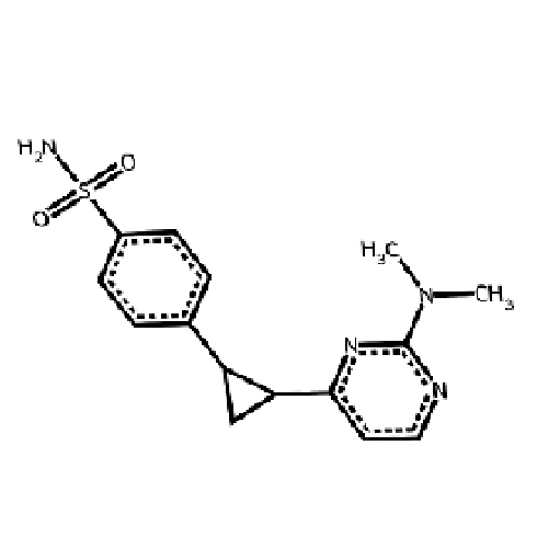 CN(C)c1nccc(C2CC2c2ccc(S(N)(=O)=O)cc2)n1